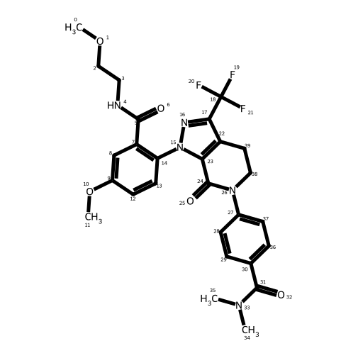 COCCNC(=O)c1cc(OC)ccc1-n1nc(C(F)(F)F)c2c1C(=O)N(c1ccc(C(=O)N(C)C)cc1)CC2